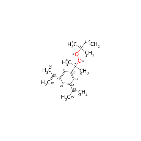 C=CC(C)(C)OOC(C)(C)c1cc(C(=C)C)cc(C(=C)C)c1